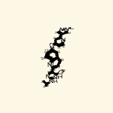 CC(C)Nc1ncc(-c2ccc3cc(Oc4ccnc(-c5cnn(C)c5)c4)ccc3n2)c(=O)[nH]1